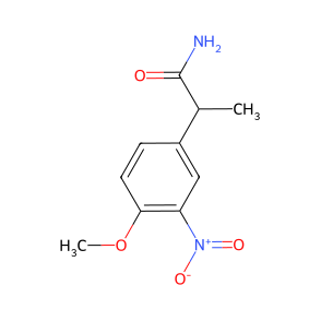 COc1ccc(C(C)C(N)=O)cc1[N+](=O)[O-]